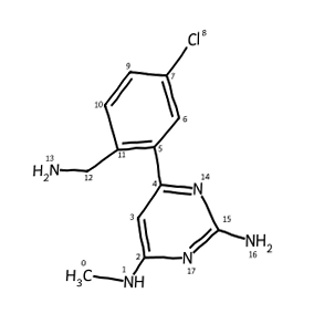 CNc1cc(-c2cc(Cl)ccc2CN)nc(N)n1